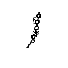 C=CCCCOc1ccc(OC(=O)C2CCC(c3ccc(-c4ccc(C)cc4)c(F)c3F)CC2)c(F)c1